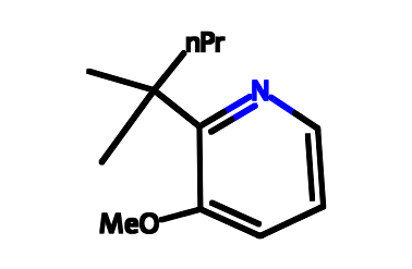 CCCC(C)(C)c1ncccc1OC